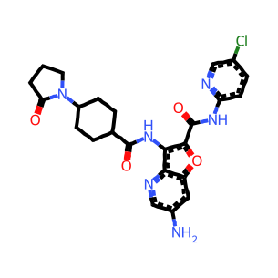 Nc1cnc2c(NC(=O)C3CCC(N4CCCC4=O)CC3)c(C(=O)Nc3ccc(Cl)cn3)oc2c1